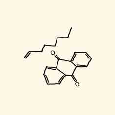 C=CCCCCCC.O=C1c2ccccc2C(=O)c2ccccc21